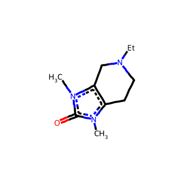 CCN1CCc2c(n(C)c(=O)n2C)C1